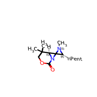 CCCCC[C@H]1[N@@](C)C12[C@H]1N2C(=O)OCC1(C)C